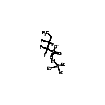 CC[N+](CC)(CC)CC.O=S(=O)([O-])C(F)(F)C(F)(F)CC(F)(F)F